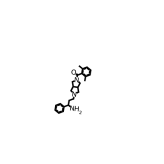 Cc1cccc(C)c1C(=O)N1CC2CN(CCC(N)c3ccccc3)CC2C1